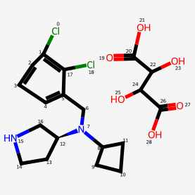 Clc1cccc(CN(C2CCC2)[C@H]2CCNC2)c1Cl.O=C(O)C(O)C(O)C(=O)O